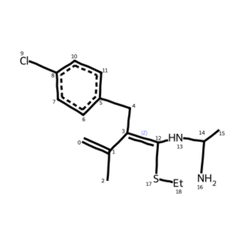 C=C(C)/C(Cc1ccc(Cl)cc1)=C(/NC(C)N)SCC